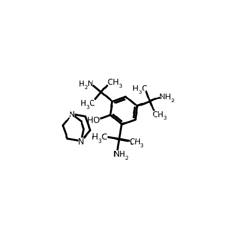 C1CN2CCN1CC2.CC(C)(N)c1cc(C(C)(C)N)c(O)c(C(C)(C)N)c1